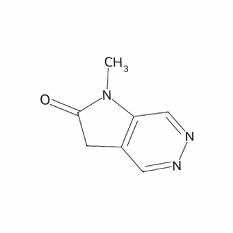 CN1C(=O)Cc2cnncc21